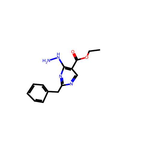 CCOC(=O)c1cnc(Cc2ccccc2)nc1NN